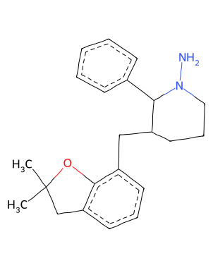 CC1(C)Cc2cccc(CC3CCCN(N)C3c3ccccc3)c2O1